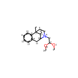 COC(CN1CCC2(C)c3ccccc3CC1C2C)OC